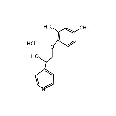 Cc1ccc(OCC(O)c2ccncc2)c(C)c1.Cl